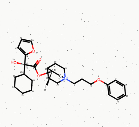 O=C(O[C@H]1C[N+]2(CCCOc3ccccc3)CCC1CC2)[C@@](O)(c1ccco1)C1CCCCC1